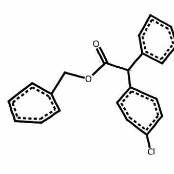 O=C(OCc1ccccc1)[C](c1ccccc1)c1ccc(Cl)cc1